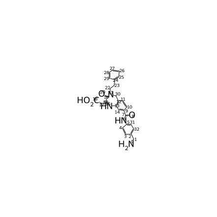 NCc1ccc(NC(=O)c2ccc3c(c2)N[C@H](CC(=O)O)C(=O)N(CCc2ccccc2)C3)cc1